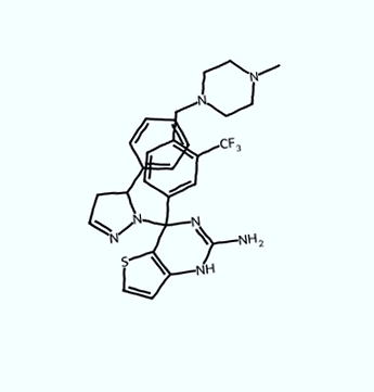 CN1CCN(Cc2ccc(C3(N4N=CCC4c4ccccc4)N=C(N)Nc4ccsc43)cc2C(F)(F)F)CC1